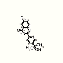 CC(C)(O)c1ccc(-c2nc3ccc(F)cc3c(=O)[nH]2)nc1